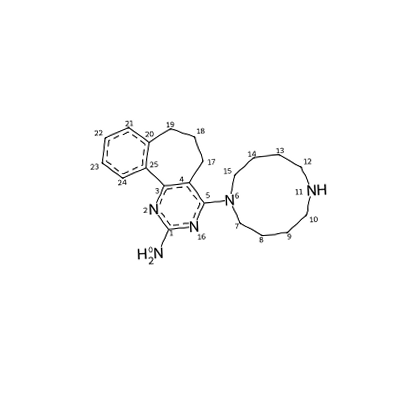 Nc1nc2c(c(N3CCCCNCCCC3)n1)CCCc1ccccc1-2